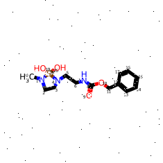 CN1CCN(CCNC(=O)OCc2ccccc2)S1(O)O